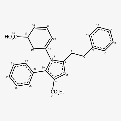 CCOC(=O)c1cc(CCc2ccccc2)n(C2=CC=CC(C(=O)O)C2)c1-c1ccccc1